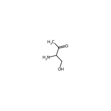 CC(=O)C(N)CO